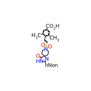 CCCCCCCCCC1=NC2(CCN(S(=O)(=O)/C=C/c3c(C)cc(C(=O)O)cc3C)CC2)C(=O)N1